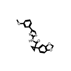 COc1cccc(-c2csc(NC(=O)C3(c4ccc5c(c4)OCO5)CC3)n2)c1